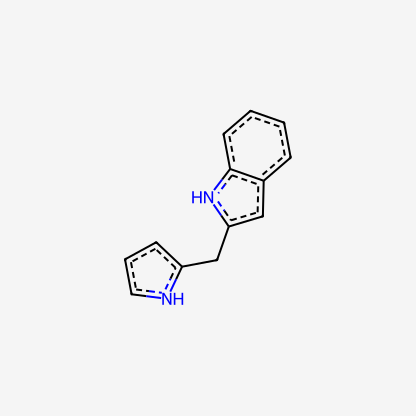 c1c[nH]c(Cc2cc3ccccc3[nH]2)c1